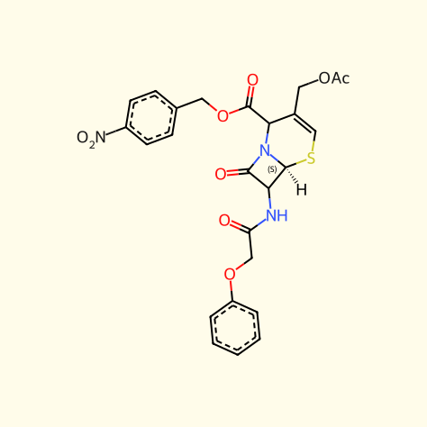 CC(=O)OCC1=CS[C@H]2C(NC(=O)COc3ccccc3)C(=O)N2C1C(=O)OCc1ccc([N+](=O)[O-])cc1